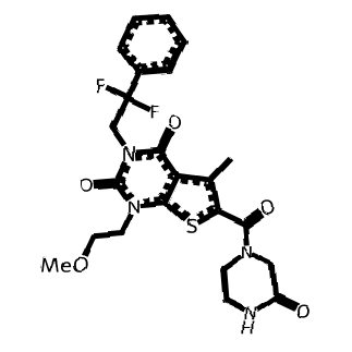 COCCn1c(=O)n(CC(F)(F)c2ccccc2)c(=O)c2c(C)c(C(=O)N3CCNC(=O)C3)sc21